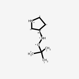 CC(C)(C)ON[C@@H]1CCNC1